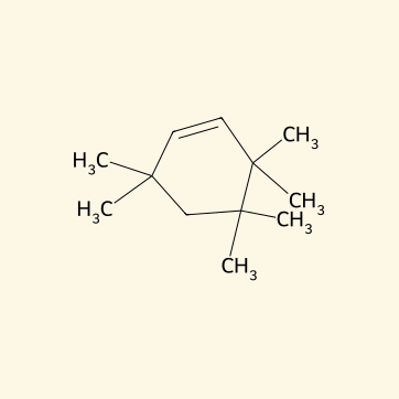 CC1(C)C=CC(C)(C)C(C)(C)C1